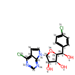 O[C@@H]1[C@H](O)[C@H]([C@H](O)c2ccc(Cl)cc2)O[C@H]1n1ccc2c(Cl)ncnc21